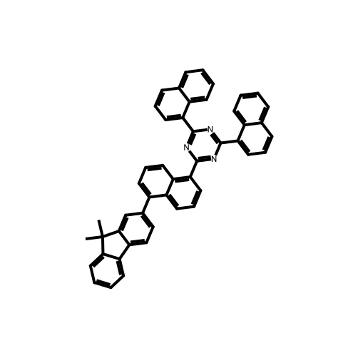 CC1(C)c2ccccc2-c2ccc(-c3cccc4c(-c5nc(-c6cccc7ccccc67)nc(-c6cccc7ccccc67)n5)cccc34)cc21